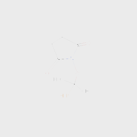 CC(C)(P)ON1C(=O)CCC1=O